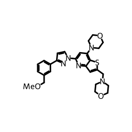 COCc1cccc(-c2ccn(-c3cc(N4CCOCC4)c4sc(CN5CCOCC5)cc4n3)n2)c1